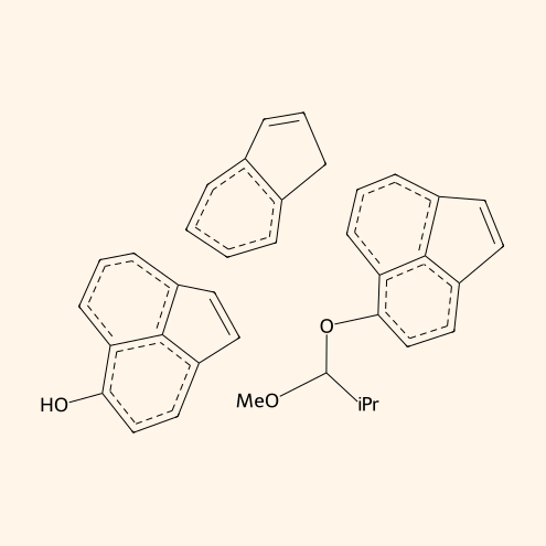 C1=Cc2ccccc2C1.COC(Oc1ccc2c3c(cccc13)C=C2)C(C)C.Oc1ccc2c3c(cccc13)C=C2